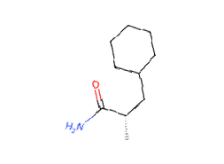 C[C@@H](CC1CCCCC1)C(N)=O